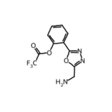 NCc1nnc(-c2ccccc2OC(=O)C(F)(F)F)o1